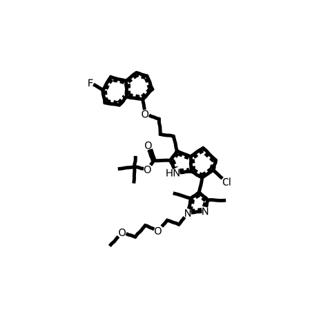 COCCOCCn1nc(C)c(-c2c(Cl)ccc3c(CCCOc4cccc5cc(F)ccc45)c(C(=O)OC(C)(C)C)[nH]c23)c1C